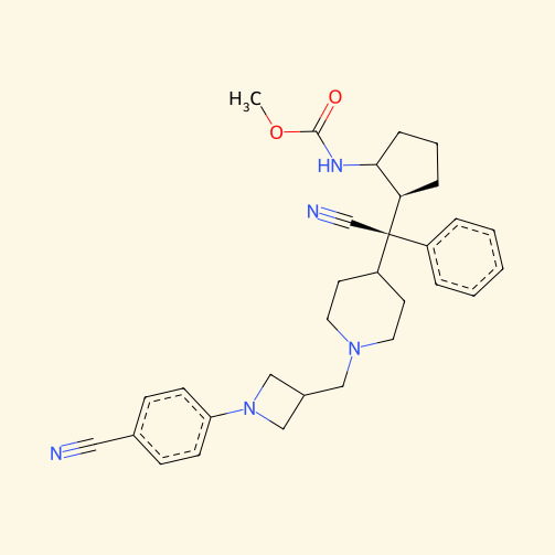 COC(=O)NC1CCC[C@H]1[C@](C#N)(c1ccccc1)C1CCN(CC2CN(c3ccc(C#N)cc3)C2)CC1